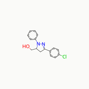 OCC1CC(c2ccc(Cl)cc2)=NN1c1ccccc1